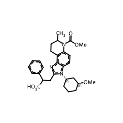 COC(=O)N1c2ccc3c(nc(CC(C(=O)O)c4ccccc4)n3[C@H]3CCC[C@H](OC)C3)c2CCC1C